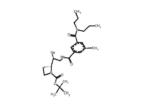 CCCN(CCC)C(=O)c1cc(C)cc(C(=O)NC[C@H](O)[C@H]2CCN2C(=O)OC(C)(C)C)c1